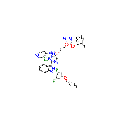 CCOc1cc(F)c(Cn2nc(-c3ncc(OCCCOC(=O)C(N)C(C)C)c(Nc4ccncc4Cl)n3)c3ccccc32)c(F)c1